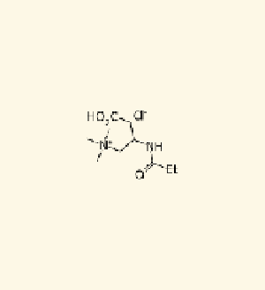 CCC(=O)NC(CC(=O)O)C[N+](C)(C)C.[Cl-]